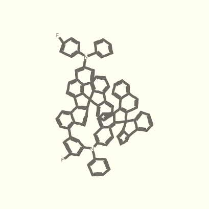 Fc1ccc(N(c2ccccc2)c2ccc3c4c(ccc3c2)-c2c(ccc3c(-c5cc(F)cc(N(c6ccccc6)c6ccc7c8c(ccc7c6)-c6c(ccc7ccccc67)C86c7ccccc7-c7ccccc76)c5)cccc23)C42c3ccccc3-c3ccccc32)cc1